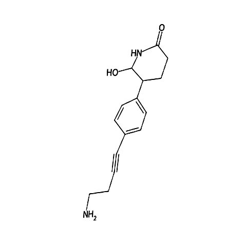 NCCC#Cc1ccc(C2CCC(=O)NC2O)cc1